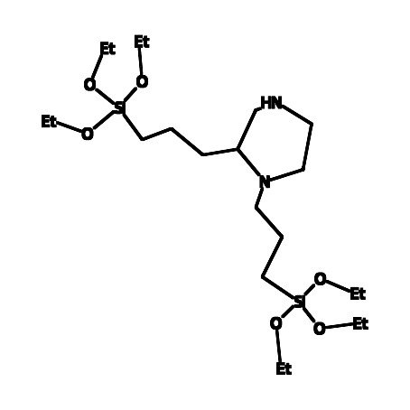 CCO[Si](CCCC1CNCCN1CCC[Si](OCC)(OCC)OCC)(OCC)OCC